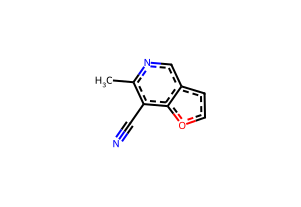 Cc1ncc2ccoc2c1C#N